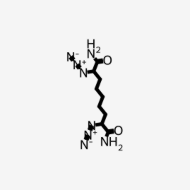 [N-]=[N+]=NC(CCCCCC(N=[N+]=[N-])C(N)=O)C(N)=O